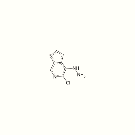 NNc1c(Cl)ncc2sccc12